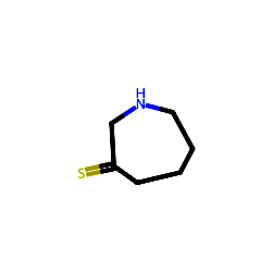 S=C1CCCCNC1